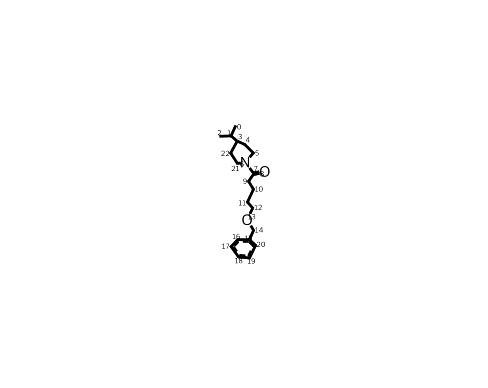 CC(C)C1CCN(C(=O)CCCCOCc2ccccc2)CC1